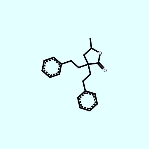 CC1CC(CCc2ccccc2)(CCc2ccccc2)C(=O)O1